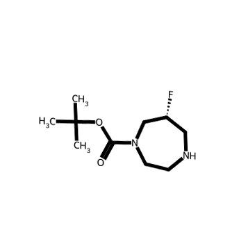 CC(C)(C)OC(=O)N1CCNC[C@@H](F)C1